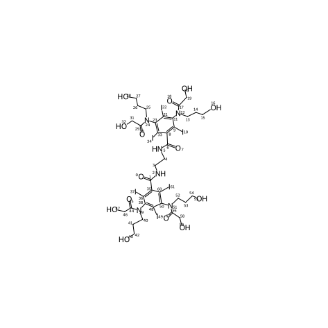 O=C(NCCNC(=O)c1c(I)c(N(CCCO)C(=O)CO)c(I)c(N(CCCO)C(=O)CO)c1I)c1c(I)c(N(CCCO)C(=O)CO)c(I)c(N(CCCO)C(=O)CO)c1I